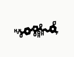 NC(=O)c1ccc(N2CC[C@](O)(C(=O)NCCc3cc(F)cc(Cl)c3)C2=O)cc1